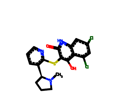 CN1CCC[C@H]1c1cccnc1Sc1c(O)c2c(Cl)cc(Cl)cc2[nH]c1=O